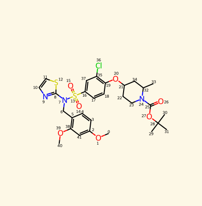 COc1ccc(CN(c2nccs2)S(=O)(=O)c2ccc(OC3CCN(C(=O)OC(C)(C)C)C(C)C3)c(Cl)c2)c(OC)c1